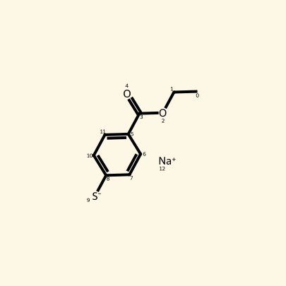 CCOC(=O)c1ccc([S-])cc1.[Na+]